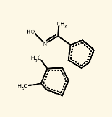 CC(=NO)c1ccccc1.Cc1ccccc1C